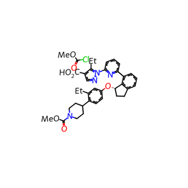 CCc1cc(O[C@H]2CCc3cccc(-c4cccc(-n5ncc(C(=O)O)c5CC)n4)c32)ccc1C1CCN(C(=O)OC)CC1.COC(=O)Cl